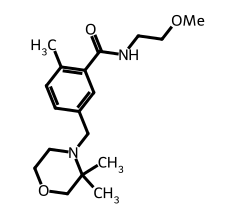 COCCNC(=O)c1cc(CN2CCOCC2(C)C)ccc1C